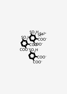 O=C([O-])c1ccc(S(=O)(=O)O)cc1C(=O)[O-].O=C([O-])c1ccc(S(=O)(=O)O)cc1C(=O)[O-].O=C([O-])c1ccc(S(=O)(=O)O)cc1C(=O)[O-].[Sc+3].[Sc+3]